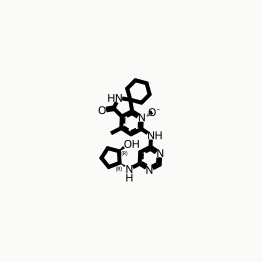 Cc1cc(Nc2cc(N[C@@H]3CCC[C@H]3O)ncn2)[n+]([O-])c2c1C(=O)NC21CCCCC1